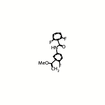 C=C(OC)c1cc(NC(=O)c2c(F)cccc2F)ccc1F